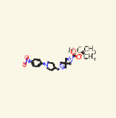 CC(C)(C)OC(=O)N1CC2(CN(CC3CCN(c4ccc([N+](=O)[O-])cc4)CC3)C2)C1